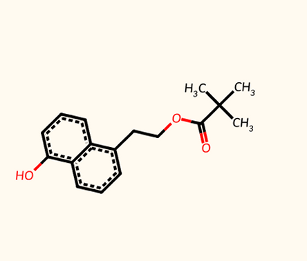 CC(C)(C)C(=O)OCCc1cccc2c(O)cccc12